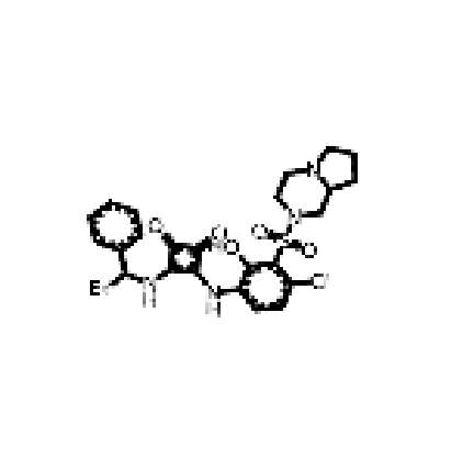 CCC(Nc1c(Nc2ccc(Cl)c(S(=O)(=O)N3CCN4CCCC4C3)c2O)c(=O)c1=O)c1ccccc1